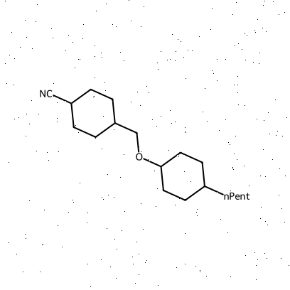 CCCCCC1CCC(OCC2CCC(C#N)CC2)CC1